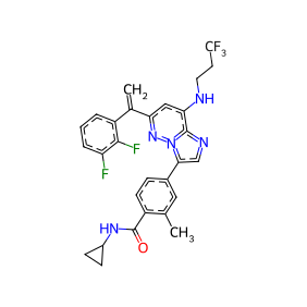 C=C(c1cc(NCCC(F)(F)F)c2ncc(-c3ccc(C(=O)NC4CC4)c(C)c3)n2n1)c1cccc(F)c1F